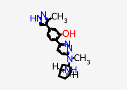 Cc1n[nH]cc1-c1ccc(-c2ccc(N(C)C3C[C@H]4CC[C@@H](C3)N4)nn2)c(O)c1